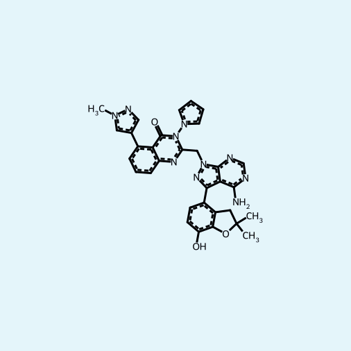 Cn1cc(-c2cccc3nc(Cn4nc(-c5ccc(O)c6c5CC(C)(C)O6)c5c(N)ncnc54)n(-n4cccc4)c(=O)c23)cn1